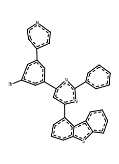 Brc1cc(-c2ccncc2)cc(-c2cc(-c3cccc4sc5ccccc5c34)nc(-c3ccccc3)n2)c1